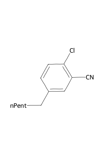 CCCCCCc1ccc(Cl)c(C#N)c1